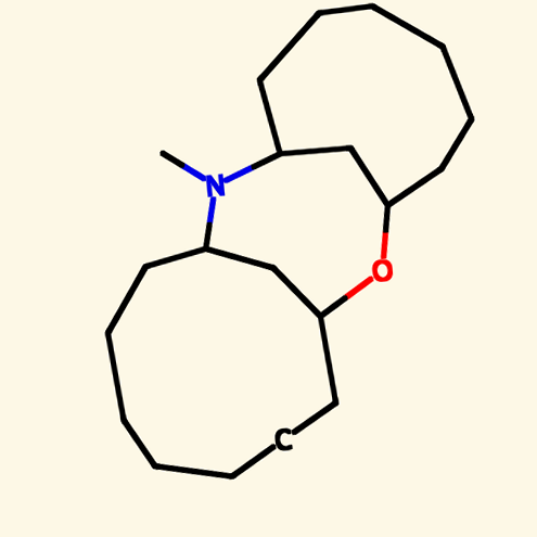 CN1C2CCCCCCCC(C2)OC2CCCCCCC1C2